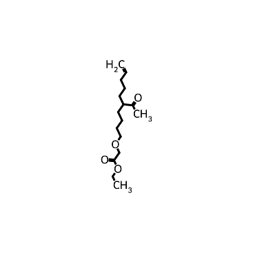 C=CCCCC(CCCCOCC(=O)OCC)C(C)=O